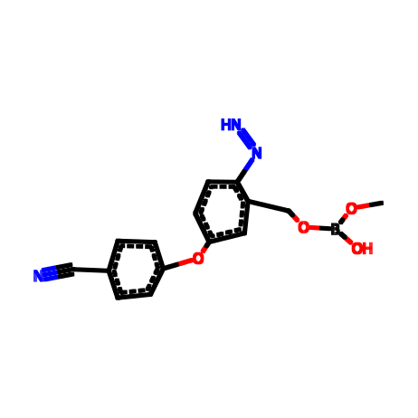 COB(O)OCc1cc(Oc2ccc(C#N)cc2)ccc1N=N